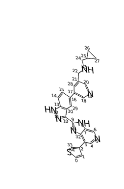 c1cc(-c2cncc3[nH]c(-c4n[nH]c5ccc(-c6cncc(CNCC7CC7)c6)cc45)nc23)cs1